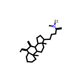 C=C1/C(=C/C)C2CCCCC2(C)C2CCC3(C)C(CCCC(=C)N(C)CC)CCC3C12